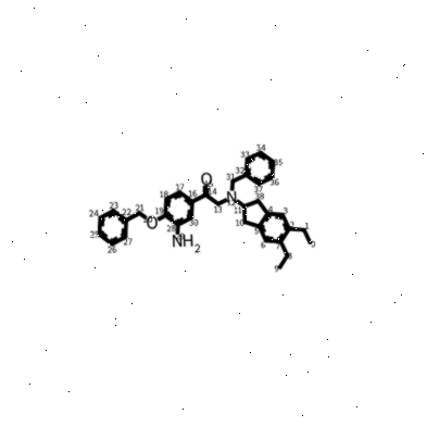 CCc1cc2c(cc1CC)CC(N(CC(=O)c1ccc(OCc3ccccc3)c(N)c1)Cc1ccccc1)C2